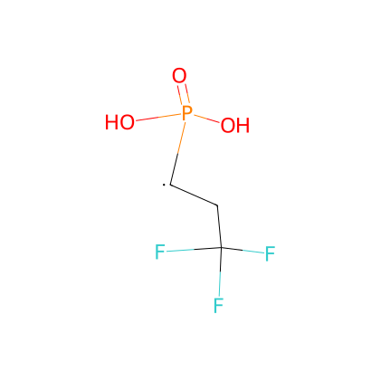 O=P(O)(O)[CH]CC(F)(F)F